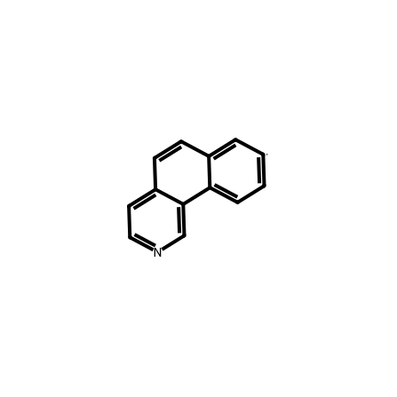 [c]1ccc2c(c1)ccc1ccncc12